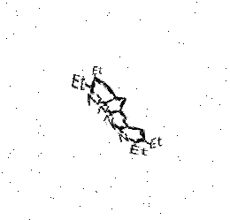 CCc1cc2cc3cc4cc(CC)c(CC)nc4nc3nc2nc1CC